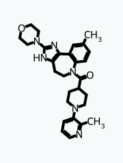 Cc1ccc2c(c1)-c1nc(N3CCOCC3)[nH]c1CCN2C(=O)C1CCN(c2cccnc2C)CC1